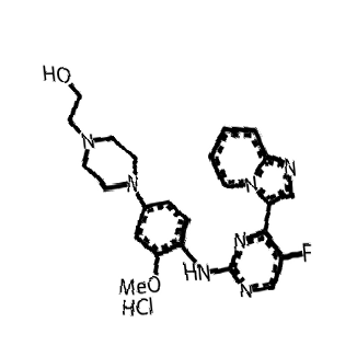 COc1cc(N2CCN(CCO)CC2)ccc1Nc1ncc(F)c(-c2cnc3ccccn23)n1.Cl